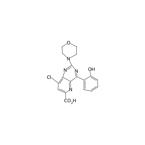 O=C(O)c1cc(Cl)c2nc(N3CCOCC3)nc(-c3ccccc3O)c2n1